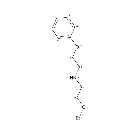 CCOCCNCCOc1ccccc1